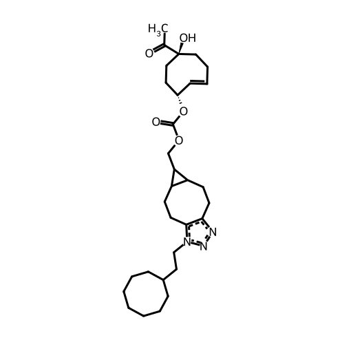 CC(=O)[C@]1(O)CC/C=C/[C@H](OC(=O)OCC2C3CCc4nnn(CCC5CCCCCCC5)c4CCC32)CC1